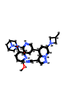 COc1ccc(CN2C3CC2CN(c2ccc(-c4cc(N5CC(C)C5)cn5ncc(C#N)c45)cn2)C3)cn1